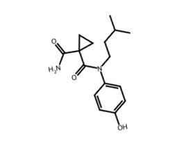 CC(C)CCN(C(=O)C1(C(N)=O)CC1)c1ccc(O)cc1